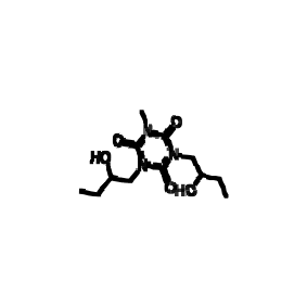 CCC(O)Cn1c(=O)n(C)c(=O)n(CC(O)CC)c1=O